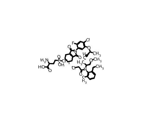 C#CC(C)Oc1cc(N2C(=O)C3=C(CCCC3)C2=O)c(F)cc1Cl.CCc1cccc(C)c1N(C(=O)CCl)C(C)COC.CP(=O)(O)CCC(N)C(=O)O